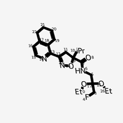 CCOC(CF)(CNC(=O)C1(C(C)C)CC(c2nccc3c2C=CCC3)=NO1)OCC